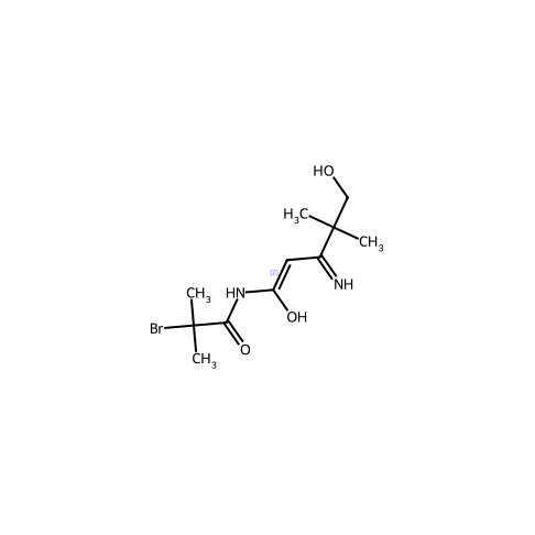 CC(C)(Br)C(=O)N/C(O)=C/C(=N)C(C)(C)CO